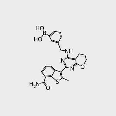 Cc1sc2c(C(N)=O)cccc2c1-c1nc(NCc2cccc(B(O)O)c2)c2c(n1)OCCC2